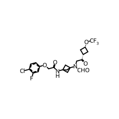 O=CN(CC(=O)[C@H]1C[C@@H](OC(F)(F)F)C1)C12CC(NC(=O)COc3ccc(Cl)c(F)c3)(C1)C2